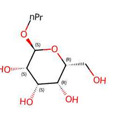 CCCO[C@H]1O[C@H](CO)[C@H](O)[C@H](O)[C@@H]1O